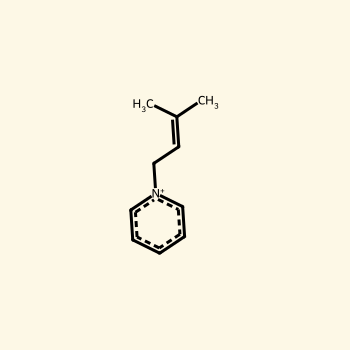 CC(C)=CC[n+]1ccccc1